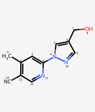 Cc1cc(-n2cc(CO)cn2)ncc1C#N